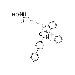 [2H]C([2H])(c1ccccc1OCCCCCC(=O)NO)N(Cc1ccccc1)C(=O)c1ccc(-c2ccncc2)cc1